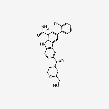 NC(=O)c1cc(-c2ccccc2Cl)cc2c1[nH]c1ccc(C(=O)N3CCOC(CO)C3)cc12